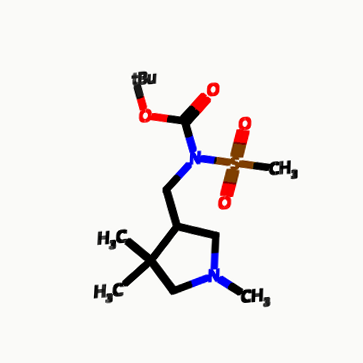 CN1CC(CN(C(=O)OC(C)(C)C)S(C)(=O)=O)C(C)(C)C1